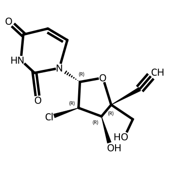 C#C[C@]1(CO)O[C@@H](n2ccc(=O)[nH]c2=O)[C@H](Cl)[C@@H]1O